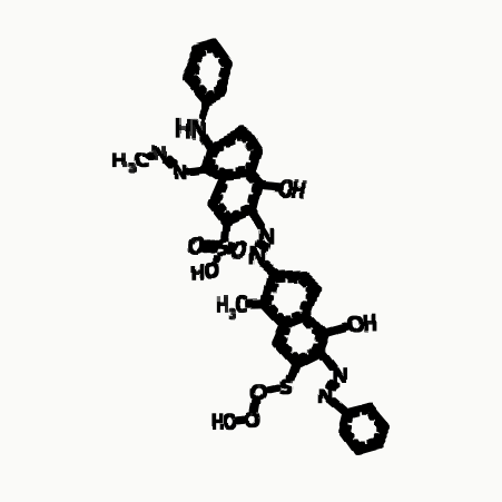 CN=Nc1c(Nc2ccccc2)ccc2c(O)c(N=Nc3ccc4c(O)c(N=Nc5ccccc5)c(SOOO)cc4c3C)c(S(=O)(=O)O)cc12